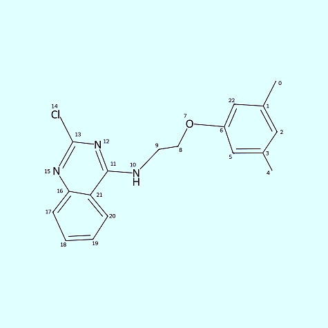 Cc1cc(C)cc(OCCNc2nc(Cl)nc3ccccc23)c1